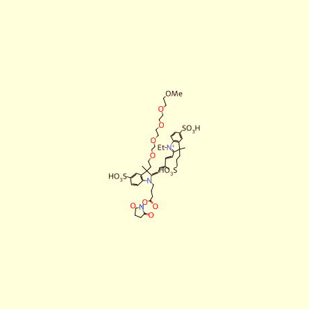 CC[N+]1=C(/C=C/C(C)=C/C=C2/N(CCCC(=O)ON3C(=O)CCC3=O)c3ccc(S(=O)(=O)O)cc3C2(C)CCOCCOCCOCCOCCOC)C(C)(CCCS(=O)(=O)O)c2cc(S(=O)(=O)O)ccc21